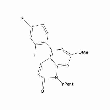 CCCCCn1c(=O)ccc2c(-c3ccc(F)cc3C)nc(OC)nc21